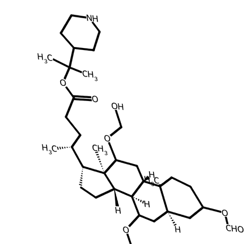 C[C@H](CCC(=O)OC(C)(C)C1CCNCC1)[C@H]1CC[C@H]2[C@@H]3C(OC=O)C[C@@H]4CC(OC=O)CC[C@]4(C)[C@H]3CC(OCO)[C@]12C